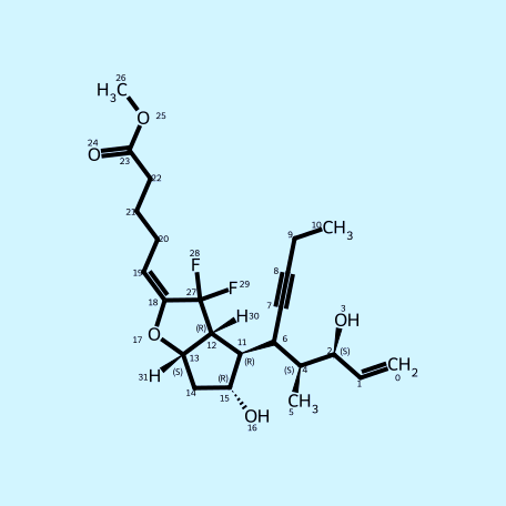 C=C[C@H](O)[C@@H](C)C(C#CCC)[C@@H]1[C@@H]2[C@H](C[C@H]1O)OC(=CCCCC(=O)OC)C2(F)F